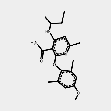 CCC(C)Nc1cc(C)nc(Oc2c(C)cc(OC)cc2C)c1C(N)=O